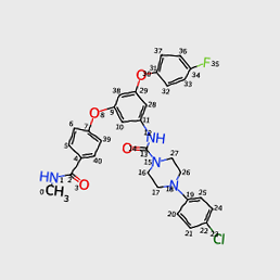 CNC(=O)c1ccc(Oc2cc(NC(=O)N3CCN(c4ccc(Cl)cc4)CC3)cc(Oc3ccc(F)cc3)c2)cc1